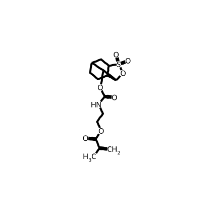 C=C(C)C(=O)OCCNC(=O)OC1C2CCC3C1OS(=O)(=O)C3C2